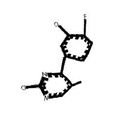 Cc1cnc(Cl)nc1-c1ccc(F)c(Cl)c1